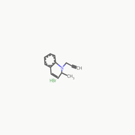 Br.C#CCN1c2ccccc2C=CC1C